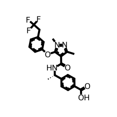 Cc1nn(C)c(Oc2cccc(CC(F)(F)F)c2)c1C(=O)N[C@@H](C)c1ccc(C(=O)O)cc1